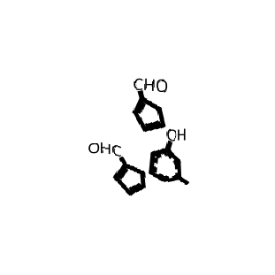 Cc1cccc(O)c1.O=CC1=CC=CC1.O=CC1=CC=CC1